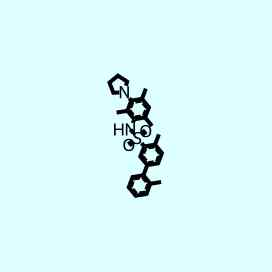 Cc1ccccc1-c1ccc(C)c(S(=O)(=O)Nc2c(C)cc(C)c(N3CCCC3)c2C)c1